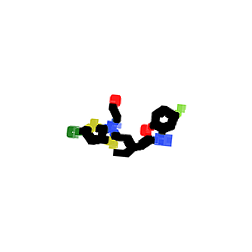 CCC(=Cc1sc2cc(Cl)sc2[n+]1CC=O)C=C1Nc2cc(F)ccc2O1